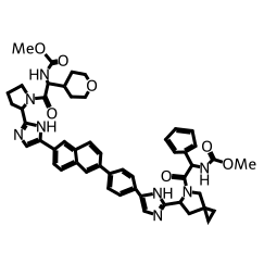 COC(=O)NC(C(=O)N1CC2(CC2)CC1c1ncc(-c2ccc(-c3ccc4cc(-c5cnc(C6CCCN6C(=O)C(NC(=O)OC)C6CCOCC6)[nH]5)ccc4c3)cc2)[nH]1)c1ccccc1